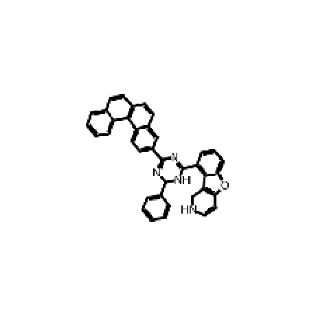 C1=Cc2oc3cccc(C4=NC(c5ccc6c(ccc7ccc8ccccc8c76)c5)=NC(c5ccccc5)N4)c3c2CN1